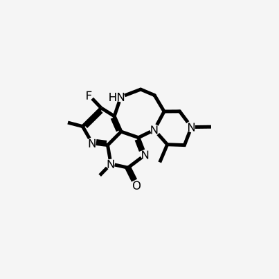 Cc1nc2c3c(nc(=O)n2C)N2C(C)CN(C)CC2CCNc3c1F